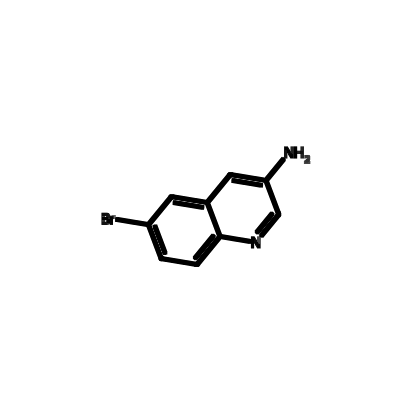 Nc1cnc2ccc(Br)cc2c1